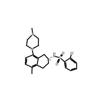 Cc1ccc(N2CCN(C)CC2)c2c1CC[C@@H](NS(=O)(=O)c1ccccc1Cl)C2